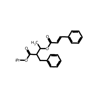 CC(C)OC(=O)C(Cc1ccccc1)C(C)OC(=O)C=Cc1ccccc1